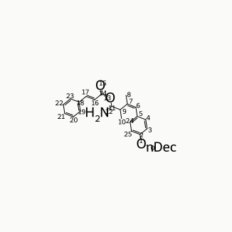 CCCCCCCCCCOc1ccc(C=C(C)C(C)C(N)OC(=O)C=Cc2ccccc2)cc1